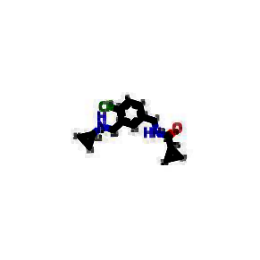 O=C(NCc1ccc(Cl)c(CNC2CC2)c1)C1CC1